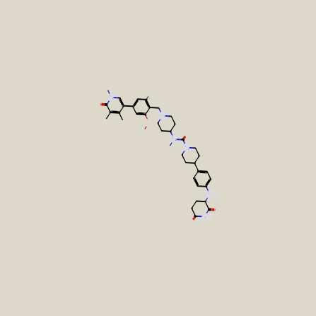 COc1cc(-c2cn(C)c(=O)c(C)c2C)cc(Cl)c1CN1CCC(N(C)C(=O)N2CCC(c3ccc(NC4CCC(=O)NC4=O)cc3)CC2)CC1